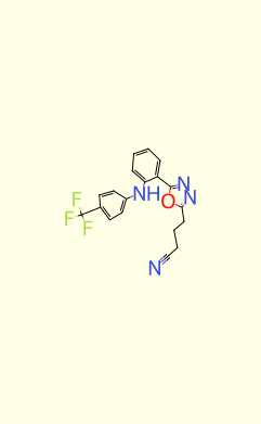 N#CCCCc1nnc(-c2ccccc2Nc2ccc(C(F)(F)F)cc2)o1